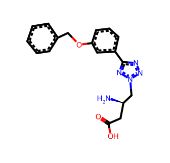 N[C@H](CC(=O)O)Cn1nnc(-c2cccc(OCc3ccccc3)c2)n1